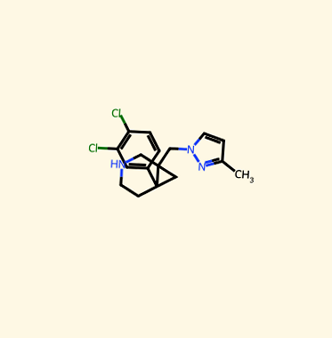 Cc1ccn(CC23CNCCC2(c2ccc(Cl)c(Cl)c2)C3)n1